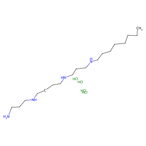 CCCCCCCCNCCCNCCCCNCCCN.Cl.Cl.Cl.Cl